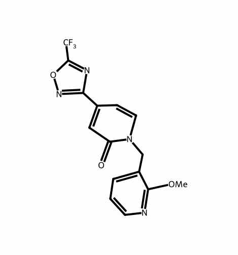 COc1ncccc1Cn1ccc(-c2noc(C(F)(F)F)n2)cc1=O